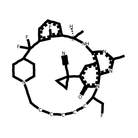 Cc1nc2c3cc(C4(C#N)CC4)c(=O)n(c3n1)C(CF)CCCCCCN1CCC(CC1)C(F)(F)c1cccc(c1F)[C@@H](C)N2